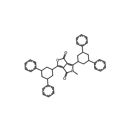 CN1C(=O)C2=C(C3CC(c4ccccc4)CC(c4ccccc4)C3)OC(=O)C2=C1C1CC(c2ccccc2)CC(c2ccccc2)C1